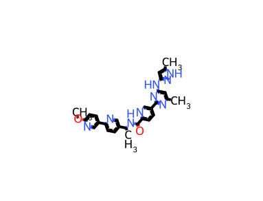 COc1ccc(-c2ccc(C(C)NC(=O)c3ccc(-c4nc(C)cc(Nc5cc(C)[nH]n5)n4)cn3)cn2)cn1